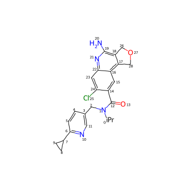 CC(C)N(Cc1ccc(C2CC2)nc1)C(=O)c1cc2c3c(c(N)nc2cc1Cl)COC3